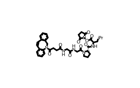 CC(C)CC(NC(=O)[C@@H]1CCCN1C(=O)CNC(=O)CNC(=O)CCC(=O)N1Cc2ccccc2C#Cc2ccccc21)C(=O)ON1C(=O)CCC1=O